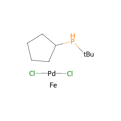 CC(C)(C)PC1CCCC1.[Cl][Pd][Cl].[Fe]